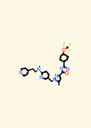 Cc1cc(-c2nc(-c3ccc(OC(F)(F)F)cc3)no2)nn1Cc1ccc(N(C)CCc2ccncc2)nc1